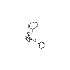 [O]B(OCc1ccccc1)OCc1ccccc1